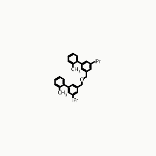 Cc1ccccc1-c1cc(COCc2cc(-c3ccccc3C)cc(C(C)C)c2)cc(C(C)C)c1